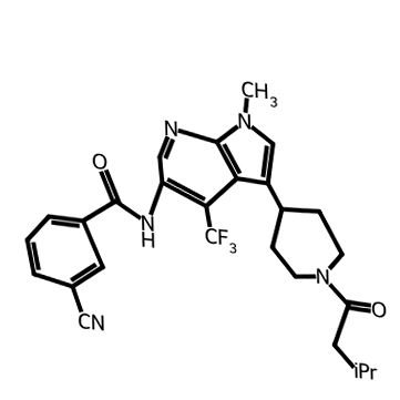 CC(C)CC(=O)N1CCC(c2cn(C)c3ncc(NC(=O)c4cccc(C#N)c4)c(C(F)(F)F)c23)CC1